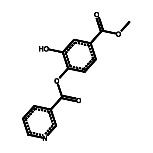 COC(=O)c1ccc(OC(=O)c2cccnc2)c(O)c1